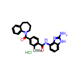 COc1cc(C(=O)N2CCCCc3ccccc32)ccc1C(=O)Nc1cccc2[nH]c(N)nc12.Cl